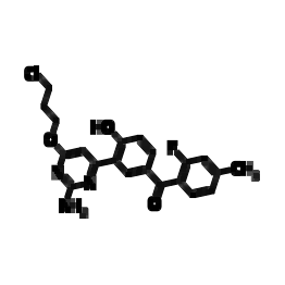 Cc1ccc(C(=O)c2ccc(O)c(-c3cc(OCCCCl)nc(N)n3)c2)c(F)c1